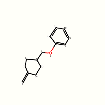 C=C1CCC(COc2ccccc2)CC1